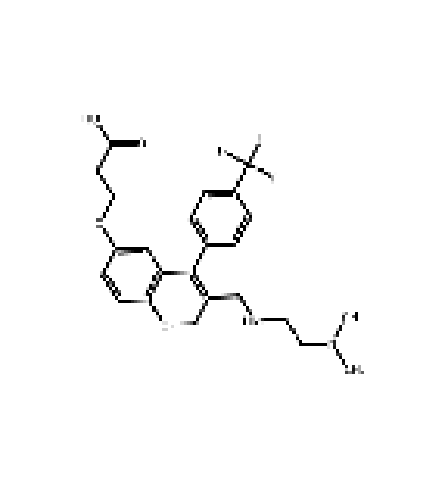 CN(C)CCNCC1=C(c2ccc(C(F)(F)F)cc2)c2cc(OCCC(=O)O)ccc2OC1